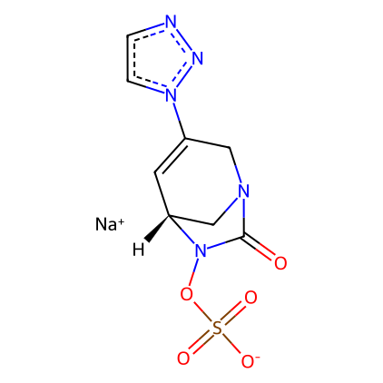 O=C1N2CC(n3ccnn3)=C[C@H](C2)N1OS(=O)(=O)[O-].[Na+]